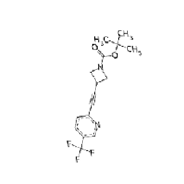 CC(C)(C)OC(=O)N1CC(C#Cc2ccc(C(F)(F)F)cn2)C1